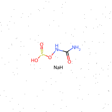 NC(=O)NOS(=O)O.[NaH]